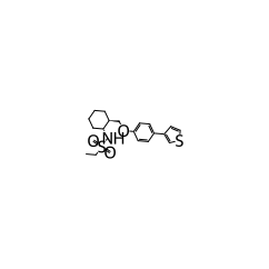 CCS(=O)(=O)N[C@@H]1CCCC[C@H]1COc1ccc(-c2ccsc2)cc1